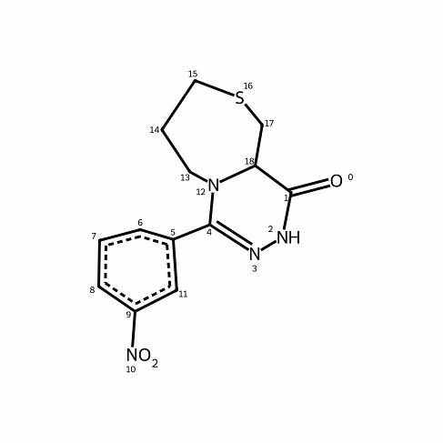 O=C1NN=C(c2cccc([N+](=O)[O-])c2)N2CCCSCC12